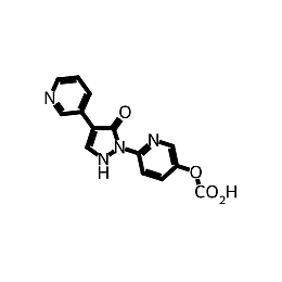 O=C(O)Oc1ccc(-n2[nH]cc(-c3cccnc3)c2=O)nc1